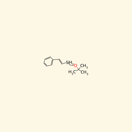 CC(C)(C)OC[SiH2]C=Cc1ccccc1